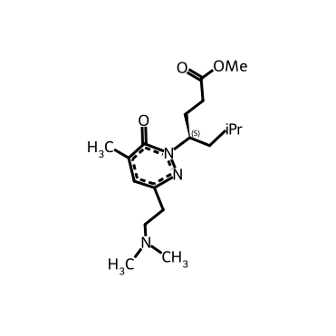 COC(=O)CC[C@@H](CC(C)C)n1nc(CCN(C)C)cc(C)c1=O